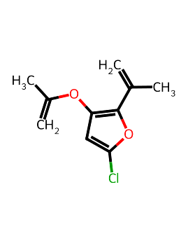 C=C(C)Oc1cc(Cl)oc1C(=C)C